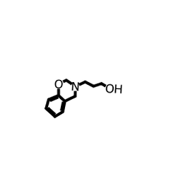 OCCCN1COc2ccccc2C1